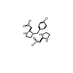 O=[N+]([O-])C=C1NCCN1.O=[N+]([O-])C=C1NCCN1Cc1ccc(Cl)cc1